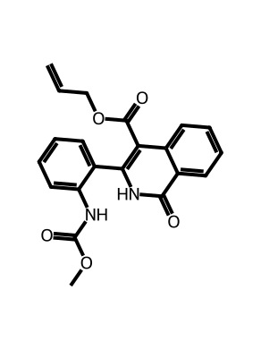 C=CCOC(=O)c1c(-c2ccccc2NC(=O)OC)[nH]c(=O)c2ccccc12